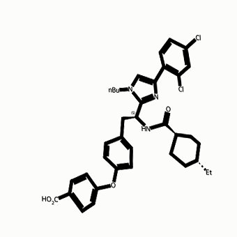 CCCCn1cc(-c2ccc(Cl)cc2Cl)nc1[C@H](Cc1ccc(Oc2ccc(C(=O)O)cc2)cc1)NC(=O)[C@H]1CC[C@H](CC)CC1